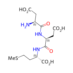 CSCC[C@H](NC(=O)[C@H](CC(=O)O)NC(=O)[C@@H](N)CC(=O)O)C(=O)O